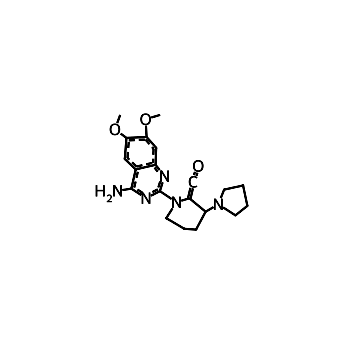 COc1cc2nc(N3CCCC(N4CCCC4)C3=C=O)nc(N)c2cc1OC